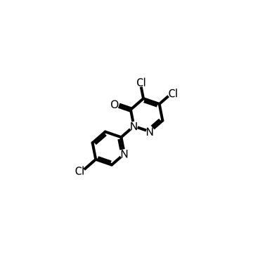 O=c1c(Cl)c(Cl)cnn1-c1ccc(Cl)cn1